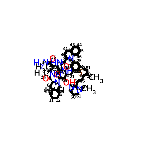 CC(C)(C)NC(=O)[C@@H]1C[C@@H]2CCCC[C@@H]2CN1C[C@@H](O)[C@H](Cc1ccccc1)NC(=O)[C@H](CC(N)=O)NC(=O)c1ccc2ccccc2n1.Cc1ccsc1/C=C/C1=NCCCN1C